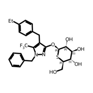 CCc1ccc(Cc2c(O[C@@H]3S[C@H](CO)[C@@H](O)[C@H](O)[C@H]3O)nn(Cc3ccccc3)c2C(F)(F)F)cc1